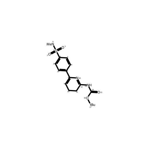 CNS(=O)(=O)c1ccc(C2=CCCC(NC(=O)OC(C)(C)C)=N2)cc1